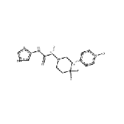 C[C@@H](C(=O)Nc1c[nH]cn1)N1CCC(F)(F)[C@@H](c2cc[n+]([O-])cc2)C1